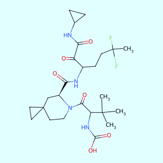 CC(F)(F)CCC(NC(=O)[C@@H]1CC2(CCN1C(=O)C(NC(=O)O)C(C)(C)C)CC2)C(=O)C(=O)NC1CC1